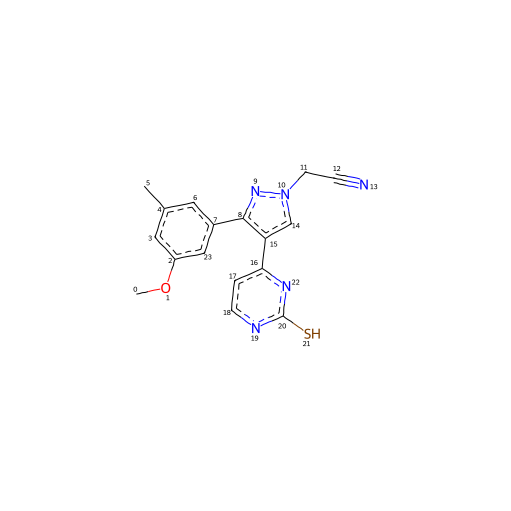 COc1cc(C)cc(-c2nn(CC#N)cc2-c2ccnc(S)n2)c1